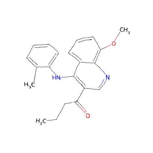 CCCC(=O)c1cnc2c(OC)cccc2c1Nc1ccccc1C